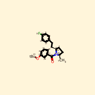 C[C@@H]1CC[C@H](CCc2ccc(F)cc2)N1C(=O)c1cccc(OC(C)(C)C)c1